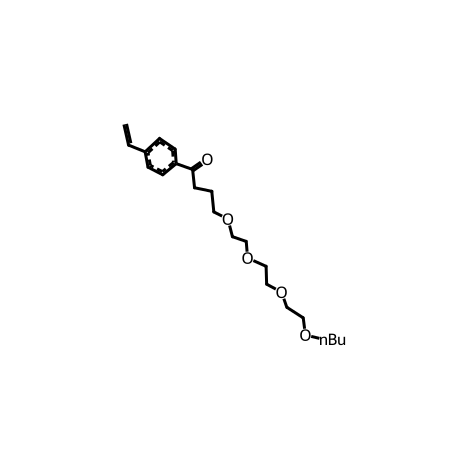 C=Cc1ccc(C(=O)CCCOCCOCCOCCOCCCC)cc1